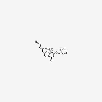 Cc1c(OC[C@@H]2COCCO2)cc(=O)n2c1-c1ccc(OCC#N)cc1CC2